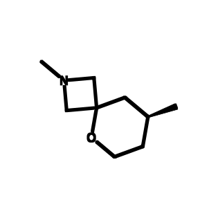 C[C@H]1CCOC2(C1)CN(C)C2